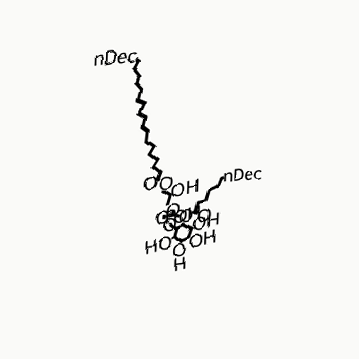 CCCCCCCCCCCCCCCCCCCCCCCCCCCC(=O)OC[C@H](O)COP(=O)(O)OC1C(OC(=O)CCCCCCCCCCCCCCC)C(O)[C@@H](O)C(O)[C@H]1O